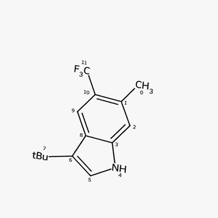 Cc1cc2[nH]cc(C(C)(C)C)c2cc1C(F)(F)F